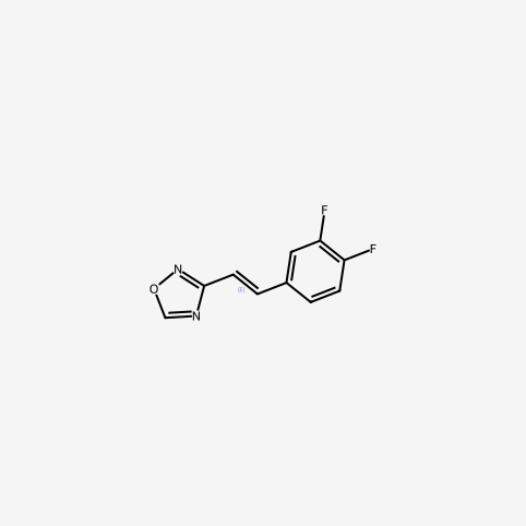 Fc1ccc(/C=C/c2ncon2)cc1F